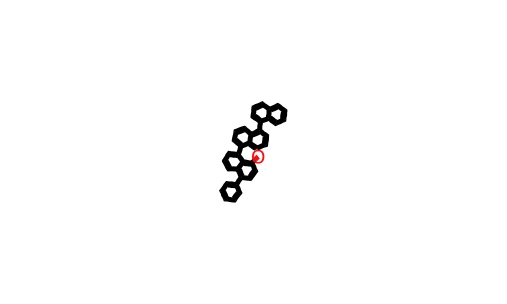 c1ccc(-c2ccc3oc4ccc(-c5cccc6ccccc56)c5cccc(c6cccc2c36)c45)cc1